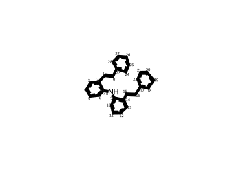 C(=Cc1ccccc1Nc1ccccc1C=Cc1ccccc1)c1ccccc1